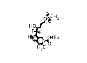 C[C@@H]1Cc2n[nH]c(C(F)(F)C(O)CCCOS(C)(=O)=O)c2CN1C(=O)OC(C)(C)C